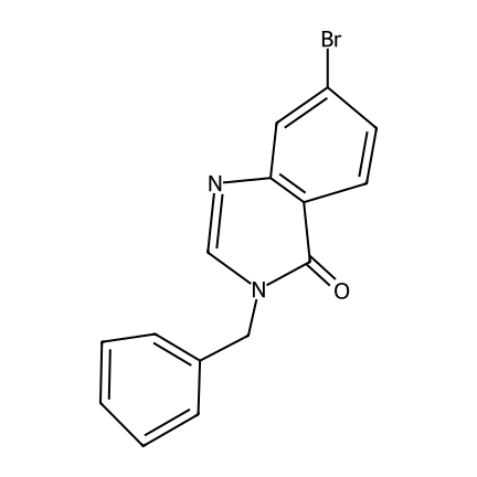 O=c1c2ccc(Br)cc2ncn1Cc1ccccc1